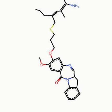 CCC/C(=C/C(C)=C(\C)N)CSCCCOc1cc2c(cc1OC)C(=O)N1c3ccccc3CC1C=N2